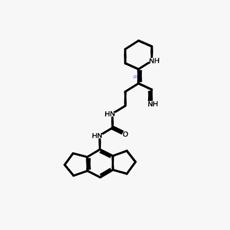 N=C/C(CCNC(=O)Nc1c2c(cc3c1CCC3)CCC2)=C1/CCCCN1